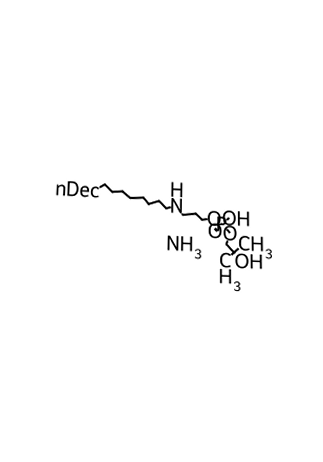 CCCCCCCCCCCCCCCCCCNCCCOP(=O)(O)OCC(C)(C)O.N